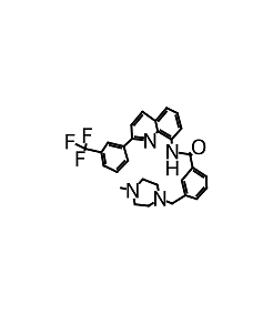 CN1CCN(Cc2cccc(C(=O)Nc3cccc4ccc(-c5cccc(C(F)(F)F)c5)nc34)c2)CC1